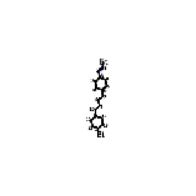 CC/C=C/C1CCC(CCCC[C@H]2CC[C@H](CC)CC2)CC1